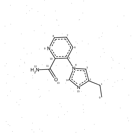 CCc1cn(-c2cccnc2C(N)=O)cn1